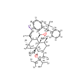 C/C(=C\I)[C@H]1[C@@H](CO[Si](c2ccccc2)(c2ccccc2)C(C)(C)C)[C@H]2[C@H]([C@@H](O[Si](C(C)C)(C(C)C)C(C)C)CC[C@@H]2C)[C@H]2C[C@]21C